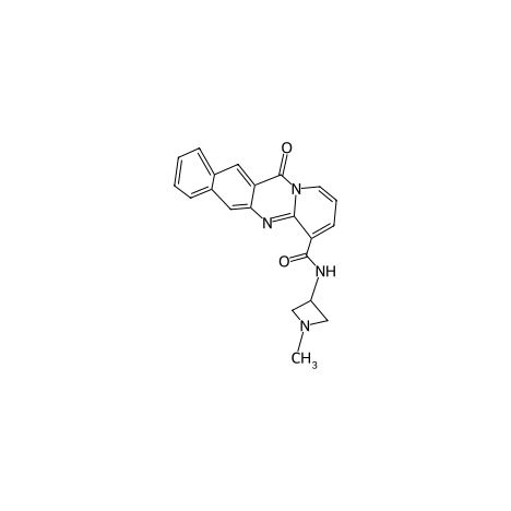 CN1CC(NC(=O)c2cccn3c(=O)c4cc5ccccc5cc4nc23)C1